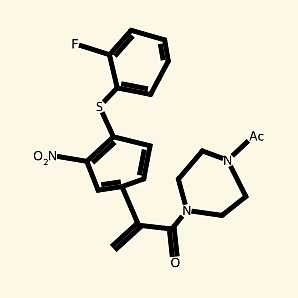 C=C(C(=O)N1CCN(C(C)=O)CC1)c1ccc(Sc2ccccc2F)c([N+](=O)[O-])c1